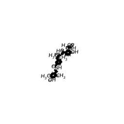 Cc1cc(CCNC(=O)c2cccc(CC(C)(C)NC[C@@H](O)c3ccc(O)c(NS(C)(=O)=O)c3)c2)c(C)cc1O